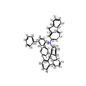 C1=CC2=CC(C=C1)[C@]13c4cc(N(C5=CCC=C6C(=C5)Cc5ccccc56)c5ccc(-c6ccccc6)cc5)ccc4-c4cccc(c41)-c1cccc2c13